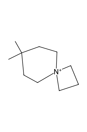 CC1(C)CC[N+]2(CCC2)CC1